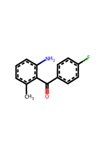 Cc1cccc(N)c1C(=O)c1ccc(F)cc1